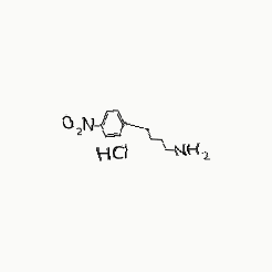 Cl.NCCCCc1ccc([N+](=O)[O-])cc1